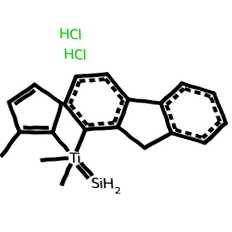 CC1=[C]([Ti]([CH3])([CH3])(=[SiH2])[c]2cccc3c2Cc2ccccc2-3)CC=C1.Cl.Cl